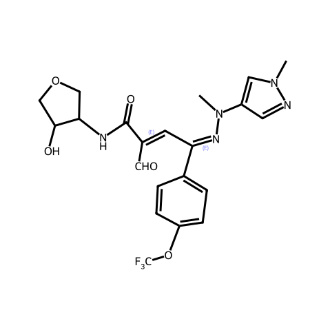 CN(/N=C(\C=C(/C=O)C(=O)NC1COCC1O)c1ccc(OC(F)(F)F)cc1)c1cnn(C)c1